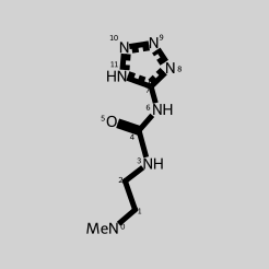 CNCCNC(=O)Nc1nnn[nH]1